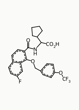 O=C(NC(C(=O)O)C1CCCC1)c1ccc2ccc(F)cc2c1OCc1ccc(OC(F)(F)F)cc1